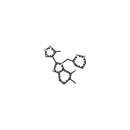 Cc1nonc1-c1nc2ccc(F)c(F)c2n1Cc1cccnn1